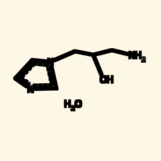 NCC(O)Cn1ccnc1.O